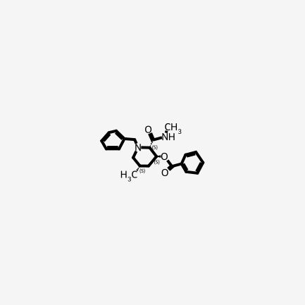 CNC(=O)[C@@H]1[C@@H](OC(=O)c2ccccc2)C[C@H](C)CN1Cc1ccccc1